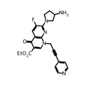 CCOC(=O)c1cn(CC#Cc2ccncc2)c2nc(N3CCC(N)C3)c(F)cc2c1=O